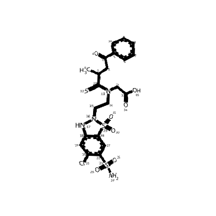 CC(CC(=O)c1ccccc1)C(=S)N(CCN1Nc2cc(Cl)c(S(N)(=O)=O)cc2S1(=O)=O)CC(=O)O